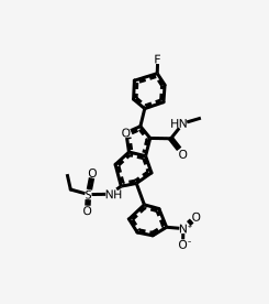 CCS(=O)(=O)Nc1cc2oc(-c3ccc(F)cc3)c(C(=O)NC)c2cc1-c1cccc([N+](=O)[O-])c1